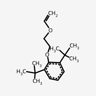 C=COCCOc1c(C(C)(C)C)cccc1C(C)(C)C